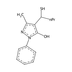 CCCC(S)c1c(C)nn(-c2ccccc2)c1O